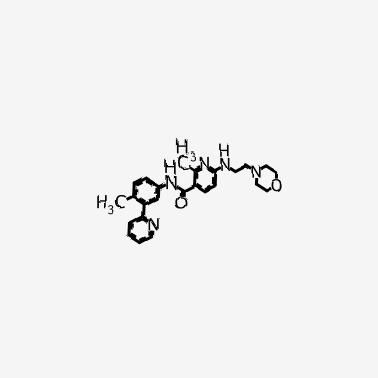 Cc1ccc(NC(=O)c2ccc(NCCN3CCOCC3)nc2C)cc1-c1ccccn1